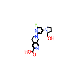 O=C(O)c1cc2c(cn1)CN(c1cc(N3CCCC3CO)cc(F)n1)CC2